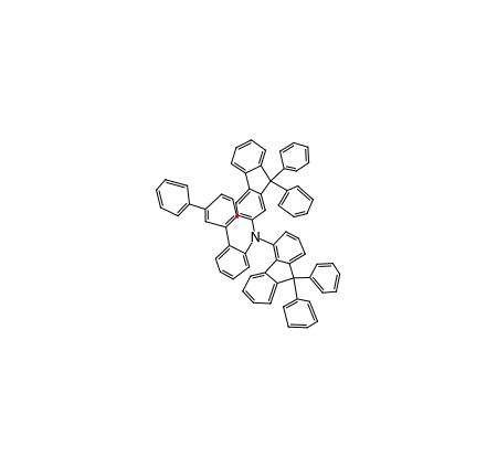 c1ccc(-c2cccc(-c3ccccc3N(c3ccc4c(c3)C(c3ccccc3)(c3ccccc3)c3ccccc3-4)c3cccc4c3-c3ccccc3C4(c3ccccc3)c3ccccc3)c2)cc1